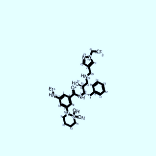 CCNc1cc(C(=O)N[C@@H](Cc2ccccc2)[C@@H](O)CNCc2cnn(CC(F)(F)F)c2)cc(N2CCCCS2(O)O)c1